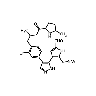 CNCc1[nH]c(C=O)cc1-c1[nH]ncc1-c1ccc(CN(C)CC(=O)C2CCC(C)N2)c(Cl)c1